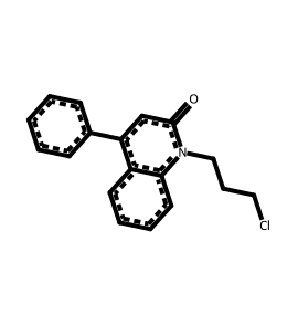 O=c1cc(-c2ccccc2)c2ccccc2n1CCCCl